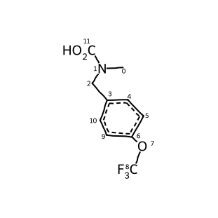 CN(Cc1ccc(OC(F)(F)F)cc1)C(=O)O